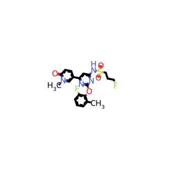 Cc1cccc(F)c1Oc1nc(NS(=O)(=O)CCCF)cc(-c2ccc(=O)n(C)c2)n1